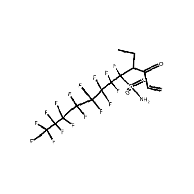 C=CC(=O)C(CC)C(F)(C(F)(F)C(F)(F)C(F)(F)C(F)(F)C(F)(F)C(F)(F)C(F)(F)F)S(N)(=O)=O